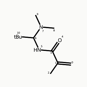 C=C(C)C(=O)NC(N(C)C)C(C)(C)C